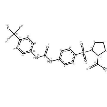 O=C(Nc1ccc(S(=O)(=O)N2CCC[C@H]2C(=O)O)cc1)Nc1ccc(C(F)(F)F)nc1